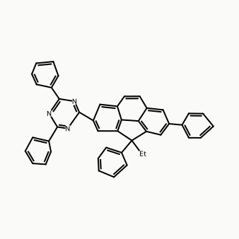 CCC1(c2ccccc2)c2cc(-c3ccccc3)cc3ccc4cc(-c5nc(-c6ccccc6)nc(-c6ccccc6)n5)cc1c4c23